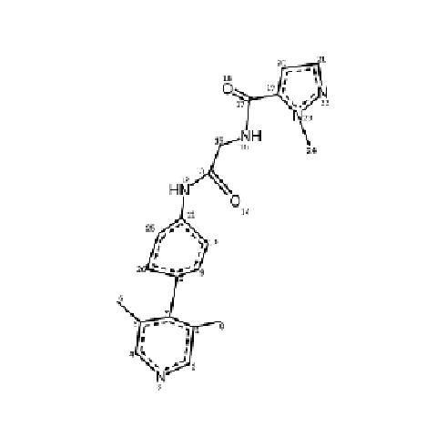 Cc1cncc(C)c1-c1ccc(NC(=O)CNC(=O)c2ccnn2C)cc1